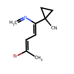 C=N/C(=C\C=C(/C)Br)C1(C#N)CC1